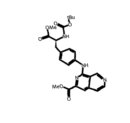 COC(=O)c1cc2ccncc2c(Nc2ccc(C[C@H](NC(=O)OC(C)(C)C)C(=O)OC)cc2)n1